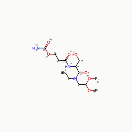 CCOC(CN(CC(C)CC)C(=O)C(CO)NC(=O)CCOC(N)=O)OCC